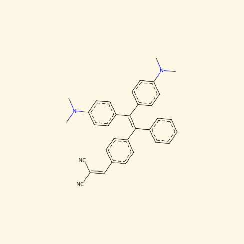 CN(C)c1ccc(C(=C(c2ccccc2)c2ccc(C=C(C#N)C#N)cc2)c2ccc(N(C)C)cc2)cc1